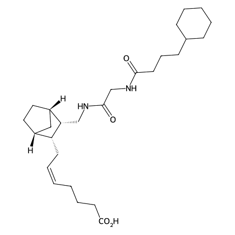 O=C(O)CCC/C=C\C[C@@H]1[C@@H]2CC[C@@H](C2)[C@@H]1CNC(=O)CNC(=O)CCCC1CCCCC1